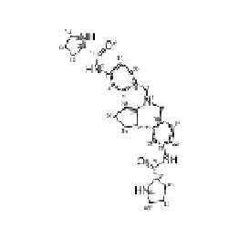 O=C(Nc1ccc(CN(Cc2ccc(NC(=O)[C@@H]3CCCN3)cc2)C2CCCC2)cc1)[C@@H]1CCCN1